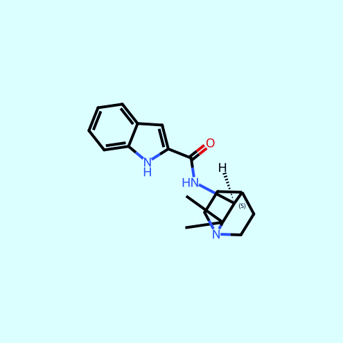 CC1(C)[C@@H](NC(=O)c2cc3ccccc3[nH]2)C2CCN1CC2